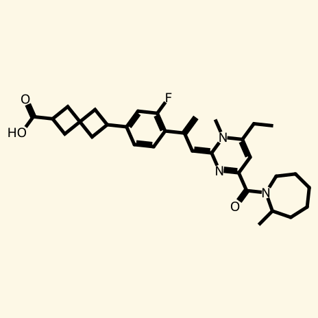 C=C(/C=C1/N=C(C(=O)N2CCCCCC2C)C=C(CC)N1C)c1ccc(C2CC3(CC(C(=O)O)C3)C2)cc1F